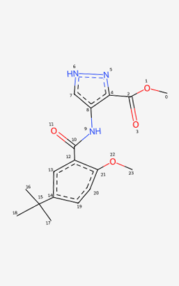 COC(=O)c1n[nH]cc1NC(=O)c1cc(C(C)(C)C)ccc1OC